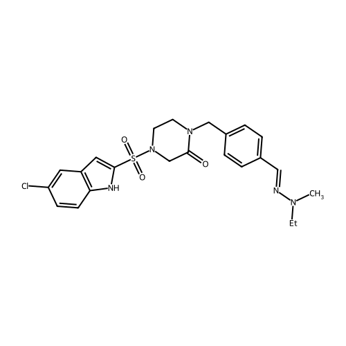 CCN(C)N=Cc1ccc(CN2CCN(S(=O)(=O)c3cc4cc(Cl)ccc4[nH]3)CC2=O)cc1